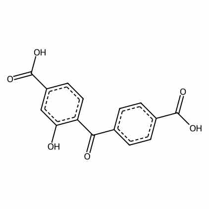 O=C(O)c1ccc(C(=O)c2ccc(C(=O)O)cc2O)cc1